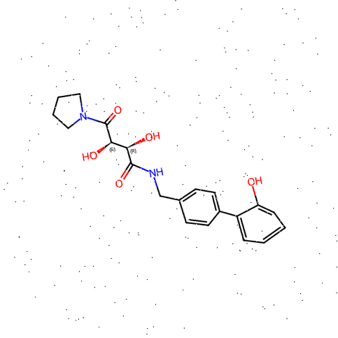 O=C(NCc1ccc(-c2ccccc2O)cc1)[C@H](O)[C@@H](O)C(=O)N1CCCC1